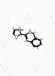 C1=COC(C2=Nc3ccccc3CO2)N1